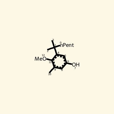 CCCCCC(C)(C)c1cc(O)cc(C)c1OC